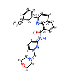 O=C(Nc1cccc(CN2CCOCC2)n1)c1cccc2ccc(-c3cccc(C(F)(F)F)c3)nc12